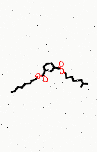 CCCCCCCCOC(=O)C1CCCC(C(=O)OCCCCCC(C)C)C1